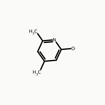 Cc1cc(C)nc([O])c1